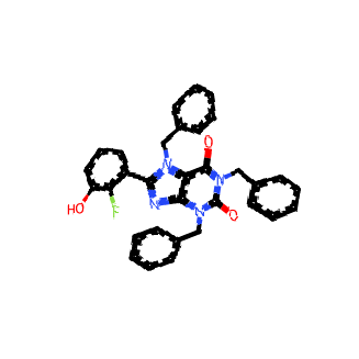 O=c1c2c(nc(-c3cccc(O)c3F)n2Cc2ccccc2)n(Cc2ccccc2)c(=O)n1Cc1ccccc1